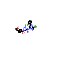 CC(=O)Cc1ccc(C(=O)NCCNc2cc(-c3ccccc3Cl)nc3c(Br)cnn23)cc1